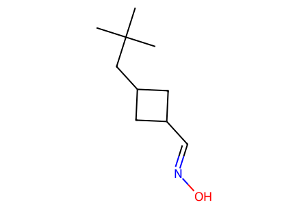 CC(C)(C)CC1CC(/C=N/O)C1